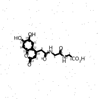 O=C(O)CNC(=O)CNC(=O)Cc1cc(=O)oc2cc(O)c(O)cc12